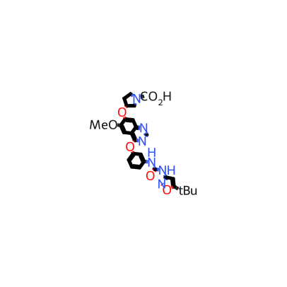 COc1cc2c(Oc3cccc(NC(=O)Nc4cc(C(C)(C)C)on4)c3)ncnc2cc1OC1CCN(C(=O)O)C1